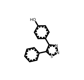 Oc1ccc(-c2nnsc2-c2ccccc2)cc1